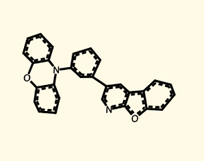 c1cc(-c2cnc3oc4ccccc4c3c2)cc(N2c3ccccc3Oc3ccccc32)c1